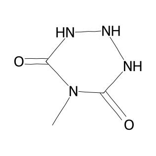 CN1C(=O)NNNC1=O